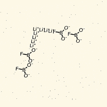 [Li+].[Li+].[Li+].[Li+].[Li+].[Li+].[Li+].[Li+].[O-]B([O-])F.[O-]B([O-])F.[O-]B([O-])F.[O-]B([O-])F